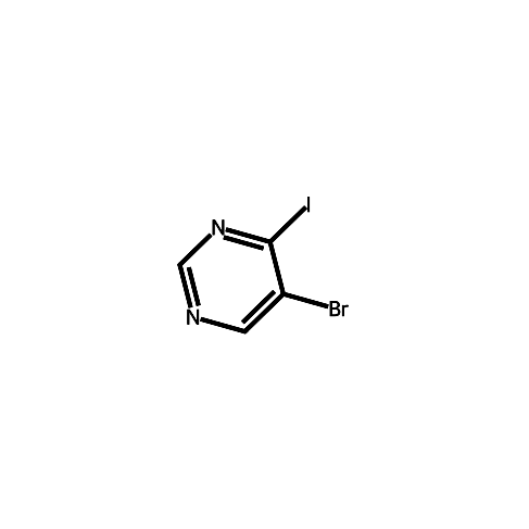 Brc1cncnc1I